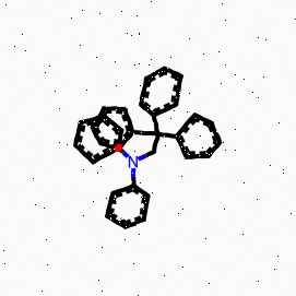 c1ccc(N(CC(c2ccccc2)(c2ccccc2)c2ccccc2)c2ccccc2)cc1